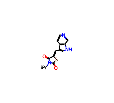 CC(C)N1C(=O)S/C(=C\c2c[nH]c3cnccc23)C1=O